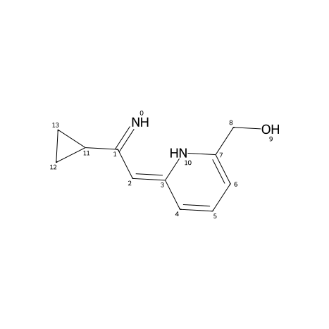 N=C(/C=C1/C=CC=C(CO)N1)C1CC1